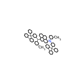 Cc1cccc(C(c2cccc(C3(c4ccccc4)c4ccccc4-c4ccccc43)c2)c2cc3ccc(N(c4cccc(C)c4)c4cccc(C5(c6ccccc6)c6ccccc6-c6ccccc65)c4)c4ccc5cccc2c5c34)c1